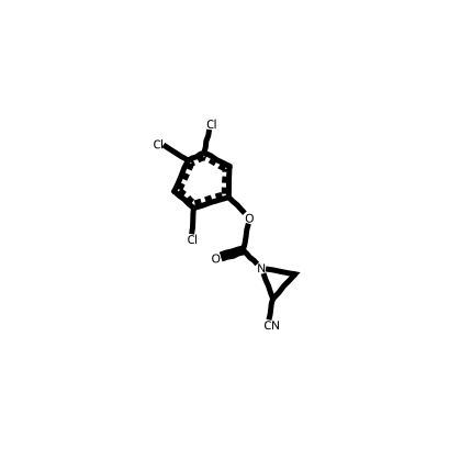 N#CC1CN1C(=O)Oc1cc(Cl)c(Cl)cc1Cl